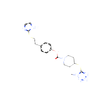 Cn1nnnc1SC1CCN(C(=O)Oc2ccc(CCSc3ncc[nH]3)cc2)CC1